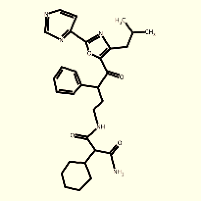 CC(C)Cc1nc(-c2ccncn2)oc1C(=O)C(CCNC(=O)C(C(N)=O)C1CCCCC1)c1ccccc1